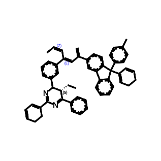 C=C(/C=C(\C=C/C)c1cccc(C2N=C(C3=CC=CCC3)N=C(c3ccccc3)[C@H]2CC)c1)c1ccc2c(c1)-c1ccccc1C2(C1=CCCC=C1)c1ccc(C)cc1